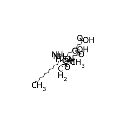 C=CC(=O)O.CCCCCCCCCCCCCCCCCCCCCC(=O)O.CN(C)CCS(=O)(=O)O.N.N